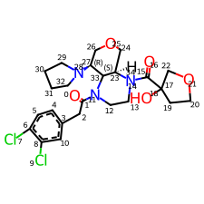 O=C(Cc1ccc(Cl)c(Cl)c1)N1CCN(C(=O)C2(O)CCOC2)[C@@H]2COC[C@H](N3CCCC3)C21